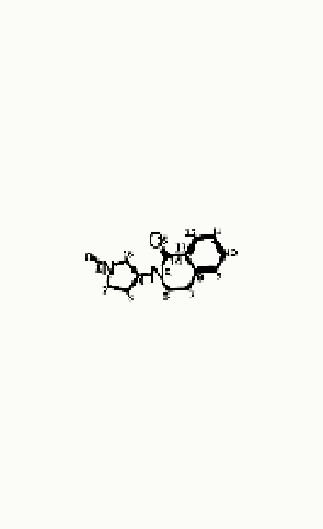 CN1CCC(N2CCc3ccccc3C2=O)C1